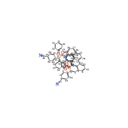 N#Cc1ccc(C2=Cc3cccc(-c4ccccc4-c4cccc5c4N=P(Oc4ccccc4)(Oc4ccccc4)C(c4ccc(C#N)cc4)=C5)c3N=P2(Oc2ccccc2)Oc2ccccc2)cc1